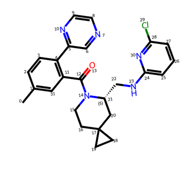 Cc1ccc(-c2cnccn2)c(C(=O)N2CCC3(CC3)C[C@H]2CNc2cccc(Cl)n2)c1